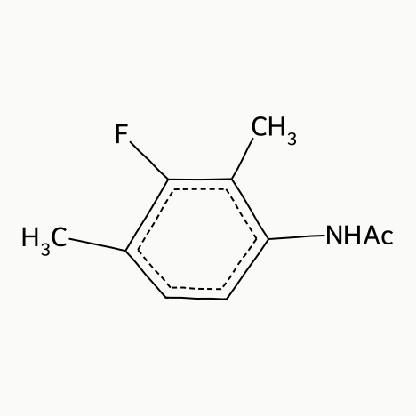 CC(=O)Nc1ccc(C)c(F)c1C